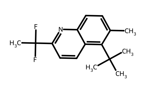 Cc1ccc2nc(C(C)(F)F)ccc2c1C(C)(C)C